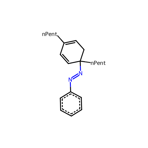 CCCCCC1=CCC(CCCCC)(N=Nc2ccccc2)C=C1